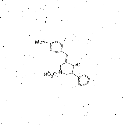 CSc1ccc(C=C2CN(C(=O)O)CC(c3ccccc3)C2=O)cc1